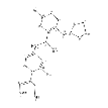 CN/C=C(\C=N)C1CC=C(NC(N)C2=C(NC3CCOC3)CCN(C(C)=O)C2)C=C1F